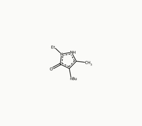 CCCCc1c(C)[nH]n(CC)c1=O